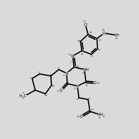 CC1CCC(Cn2c(=O)n(CCC(N)=O)c(=O)[nH]/c2=N\c2ccc(OC(C)C)c(Cl)c2)CC1